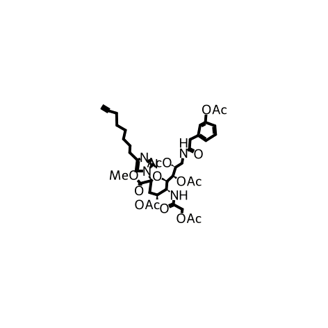 C#CCCCCCCc1cn([C@]2(C(=O)OC)C[C@H](OC(C)=O)[C@@H](NC(=O)COC(C)=O)[C@H]([C@H](OC(C)=O)[C@@H](CNC(=O)Cc3cccc(OC(C)=O)c3)OC(C)=O)O2)nn1